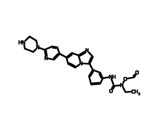 CCN(OC=O)C(=O)Nc1cccc(-c2cnc3cc(-c4ccc(N5CCNCC5)nc4)ccn23)c1